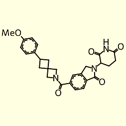 COc1ccc(C2CC3(C2)CN(C(=O)c2ccc4c(c2)CN(C2CCC(=O)NC2=O)C4=O)C3)cc1